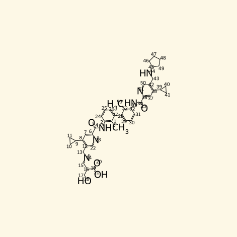 Cc1c(NC(=O)c2cc(C3CC3)c(C/N=C/C(CO)C(=O)O)cn2)cccc1-c1cccc(NC(=O)c2cc(C3CC3)c(CNC3CCCC3)cn2)c1C